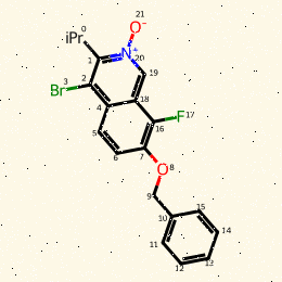 CC(C)c1c(Br)c2ccc(OCc3ccccc3)c(F)c2c[n+]1[O-]